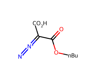 CCCCOC(=O)C(=[N+]=[N-])C(=O)O